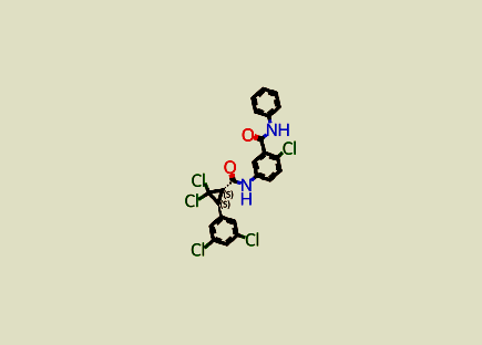 O=C(Nc1ccccc1)c1cc(NC(=O)[C@@H]2[C@@H](c3cc(Cl)cc(Cl)c3)C2(Cl)Cl)ccc1Cl